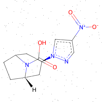 O=C(O)N1C2CC[C@H]1C[C@H](n1cc([N+](=O)[O-])cn1)C2